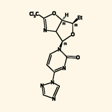 CC[C@H]1O[C@@H](n2ccc(-n3cncn3)nc2=O)C2N=C(C(Cl)(Cl)Cl)O[C@H]21